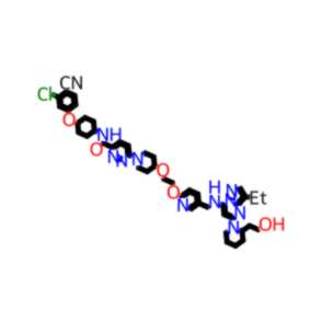 CCc1cnn2c(NCc3ccc(OCCOC4CCN(c5ccc(C(=O)NC6CCC(Oc7ccc(C#N)c(Cl)c7)CC6)nn5)CC4)nc3)cc(N3CCCCC3CCO)nc12